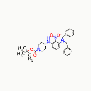 CC(C)(C)OC(=O)N1CCC(Nc2cccc(N(Cc3ccccc3)Cc3ccccc3)c2[N+](=O)[O-])CC1